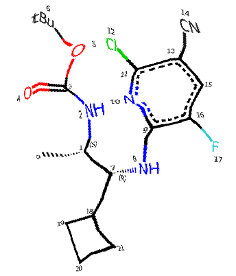 C[C@H](NC(=O)OC(C)(C)C)[C@H](Nc1nc(Cl)c(C#N)cc1F)C1CCC1